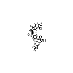 COc1ccc2c(cc(C(=O)NC3(c4ccc(C(C(=O)O)C5CCC(OC(C)=O)CC5)cc4)COC3)n2C)c1Cl